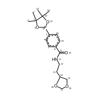 CC1(C)OP(c2ccc(C(=O)NCCC3COCO3)cc2)OC1(C)C